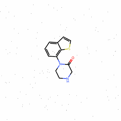 O=C1CNCCN1c1cccc2ccsc12